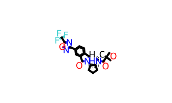 CC1(C(=O)N[C@H]2CCC[C@@H]2N2Cc3ccc(-c4noc(C(F)(F)F)n4)cc3C2=O)COC1